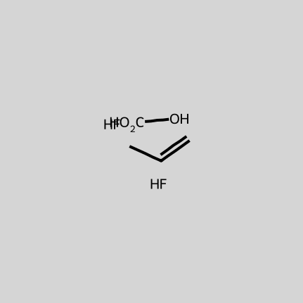 C=CC.F.F.O=C(O)O